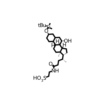 C[C@H](CCC(=O)NCCS(=O)(=O)O)[C@H]1CC[C@H]2[C@@H]3[C@@H](O)CC4C[C@H](O[Si](C)(C)C(C)(C)C)CC[C@]4(C)[C@H]3CC[C@]12C